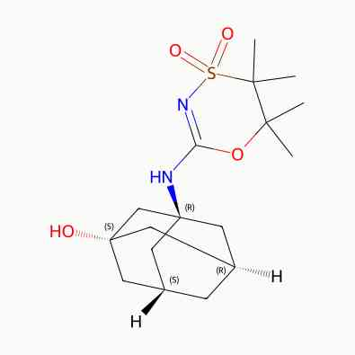 CC1(C)OC(N[C@@]23C[C@@H]4C[C@@H](C[C@@](O)(C4)C2)C3)=NS(=O)(=O)C1(C)C